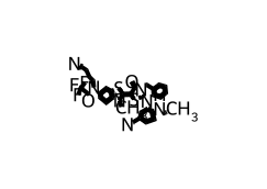 CCNc1ccc(C#N)cc1N=C1SC(=C2Sc3cc(N(CCCC#N)C(=O)C(F)(F)F)ccc3N2C)C(=O)N1Cc1ccccc1